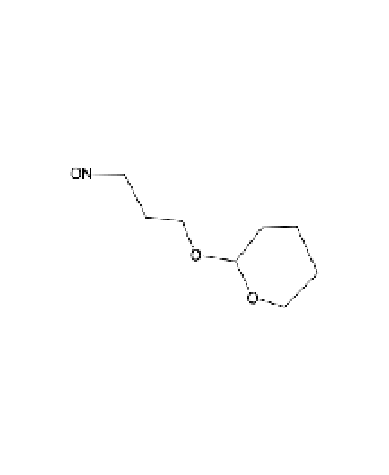 O=NCCCOC1CCCCO1